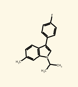 Cc1ccc2c(-c3ccc(F)cc3)cn(C(C)C)c2c1